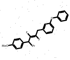 COc1ccc(C(C(F)=C(F)Cc2cccc(Oc3ccccc3)c2)C(C)C)cc1